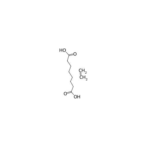 C=C.O=C(O)CCCCCCC(=O)O